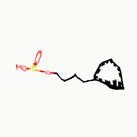 O=S(O)OCCCCc1ccccc1